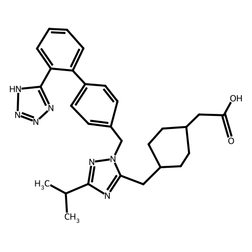 CC(C)c1nc(CC2CCC(CC(=O)O)CC2)n(Cc2ccc(-c3ccccc3-c3nnn[nH]3)cc2)n1